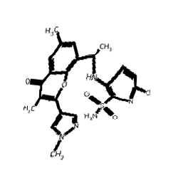 Cc1cc([C@@H](C)Nc2ccc(Cl)nc2S(N)(=O)=O)c2oc(-c3cnn(C)c3)c(C)c(=O)c2c1